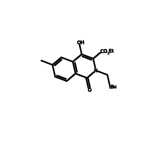 CCOC(=O)c1c(O)c2cc(C)ccc2c(=O)n1CC(C)(C)C